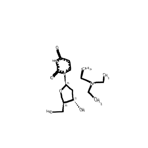 CCN(CC)CC.O=c1ccn([C@H]2C[C@H](O)[C@@H](CO)O2)c(=O)[nH]1